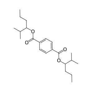 CCCC(OC(=O)c1ccc(C(=O)OC(CCC)C(C)C)cc1)C(C)C